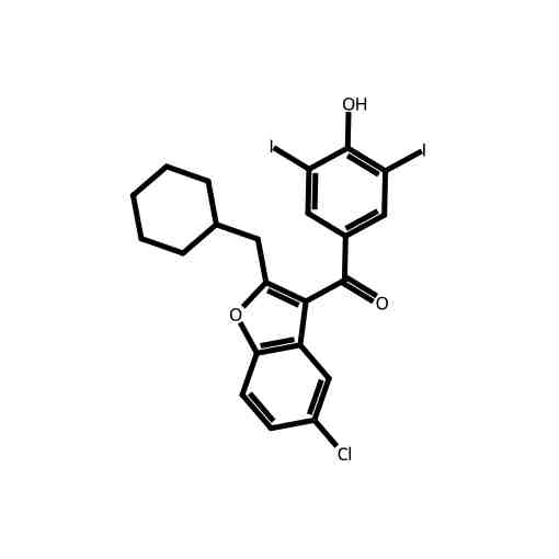 O=C(c1cc(I)c(O)c(I)c1)c1c(CC2CCCCC2)oc2ccc(Cl)cc12